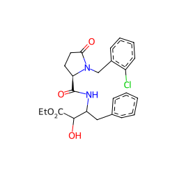 CCOC(=O)C(O)C(Cc1ccccc1)NC(=O)[C@H]1CCC(=O)N1Cc1ccccc1Cl